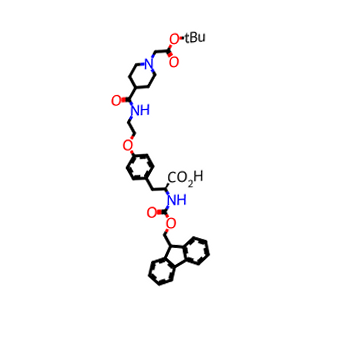 CC(C)(C)OC(=O)CN1CCC(C(=O)NCCOc2ccc(C[C@H](NC(=O)OCC3c4ccccc4-c4ccccc43)C(=O)O)cc2)CC1